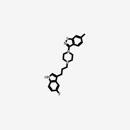 Cc1ccc2c(N3CCN(CCCc4c[nH]c5ccc(F)cc45)CC3)nsc2c1